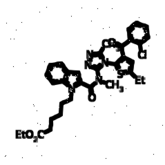 CCOC(=O)CCCCCn1c(C(=O)N(C)c2nnc(C)n2-c2sc(CC)cc2C(=O)c2ccccc2Cl)cc2ccccc21